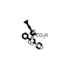 O=C(O)c1sc(C#CC2CC2)cc1N(CC(=O)N1CCOCC1)C(=O)C1CCCCC1